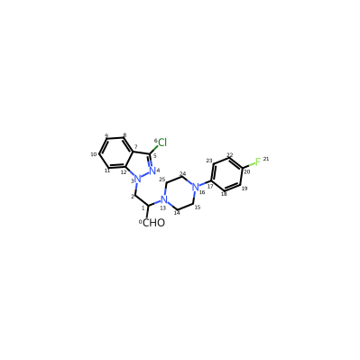 O=CC(Cn1nc(Cl)c2ccccc21)N1CCN(c2ccc(F)cc2)CC1